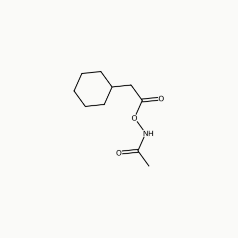 CC(=O)NOC(=O)CC1CCCCC1